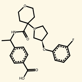 CC(NC(=O)C1(N2CC[C@@H](Oc3cccc(F)c3)C2)CCOCC1)c1ccc(C(=O)O)cc1